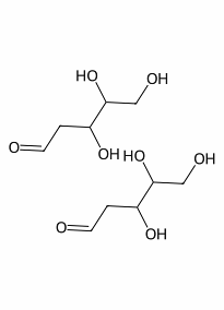 O=CCC(O)C(O)CO.O=CCC(O)C(O)CO